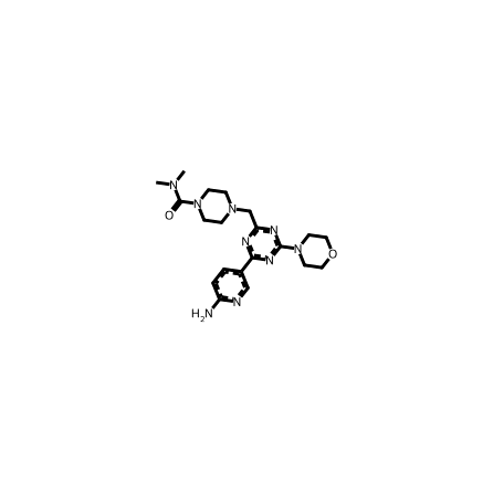 CN(C)C(=O)N1CCN(Cc2nc(-c3ccc(N)nc3)nc(N3CCOCC3)n2)CC1